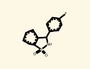 O=S1(=O)NC(c2ccc(F)cc2)c2ccccc21